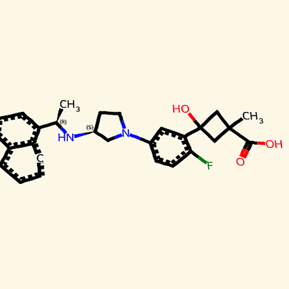 C[C@@H](N[C@H]1CCN(c2ccc(F)c(C3(O)CC(C)(C(=O)O)C3)c2)C1)c1cccc2ccccc12